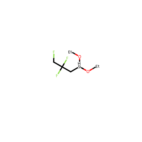 CCO[SiH](CC(F)(F)CF)OCC